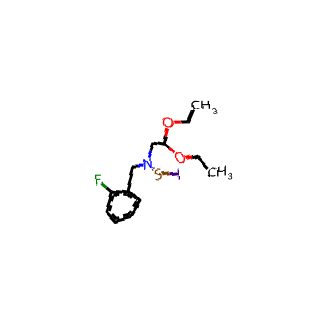 CCOC(CN(Cc1ccccc1F)SI)OCC